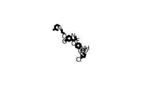 COc1cc2c(Oc3ccc(NS(=O)(=O)c4ccc(Cl)s4)cc3F)ccnc2cc1OCCCN1CCCC(C)C1